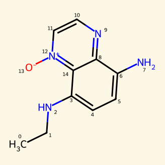 CCNc1ccc(N)c2ncc[n+]([O-])c12